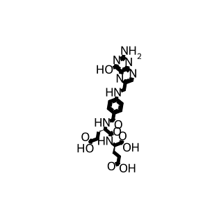 Nc1nc(O)c2nc(CNc3ccc(C(=O)N[C@@H](CCC(=O)O)C(=O)N[C@H](CCC(=O)O)C(=O)O)cc3)cnc2n1